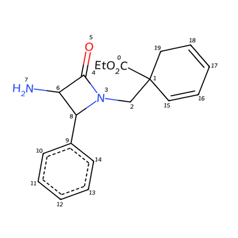 CCOC(=O)C1(CN2C(=O)C(N)C2c2ccccc2)C=CC=CC1